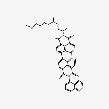 COCCOCC(C)OCC(C)N1C(=O)c2ccc3c4ccc5c6c(ccc(c7ccc(c2c37)C1=O)c64)C(=O)N(c1cccc2ccccc12)C5=O